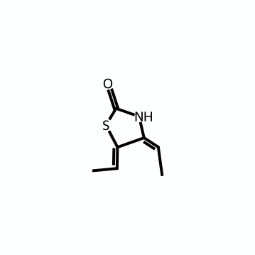 CC=c1[nH]c(=O)sc1=CC